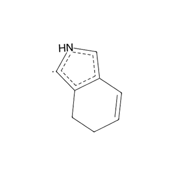 [c]1[nH]cc2c1CCC=C2